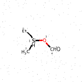 CC[SiH](C)OC=O